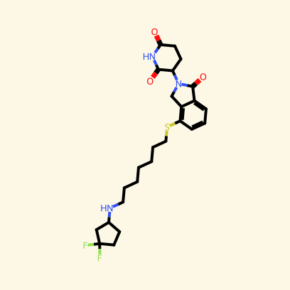 O=C1CCC(N2Cc3c(SCCCCCCCNC4CCC(F)(F)C4)cccc3C2=O)C(=O)N1